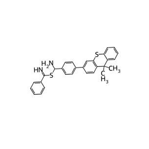 CC1(C)c2ccccc2Sc2cc(-c3ccc(C(N)SC(=N)c4ccccc4)cc3)ccc21